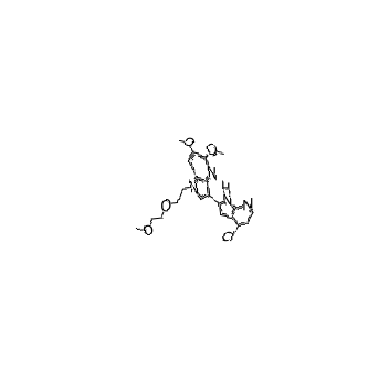 COCCOCCn1cc(-c2cc3c(Cl)ccnc3[nH]2)c2nc(OC)c(OC)cc21